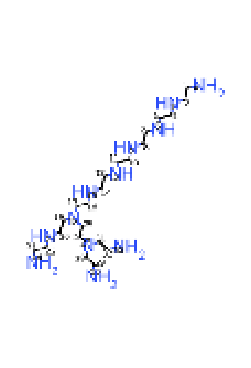 NCCNCCNCCNCCNCCNCCN(CCNCCN)CCN(CCN)CCN